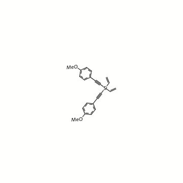 C=C[Si](C#Cc1ccc(OC)cc1)(C#Cc1ccc(OC)cc1)C=C